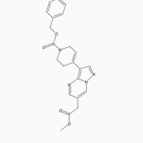 COC(=O)Cc1cnc2c(C3=CCN(C(=O)OCc4ccccc4)CC3)cnn2c1